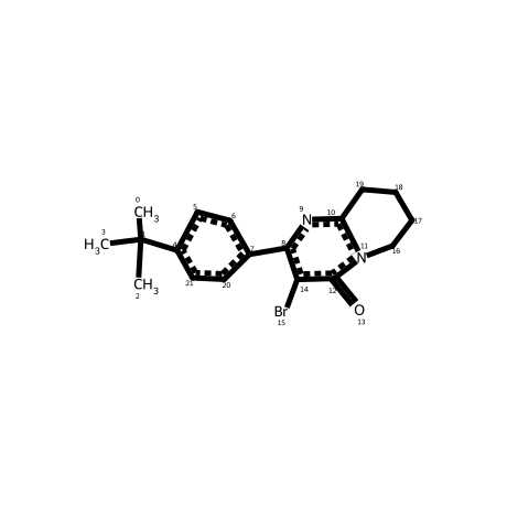 CC(C)(C)c1ccc(-c2nc3n(c(=O)c2Br)CCCC3)cc1